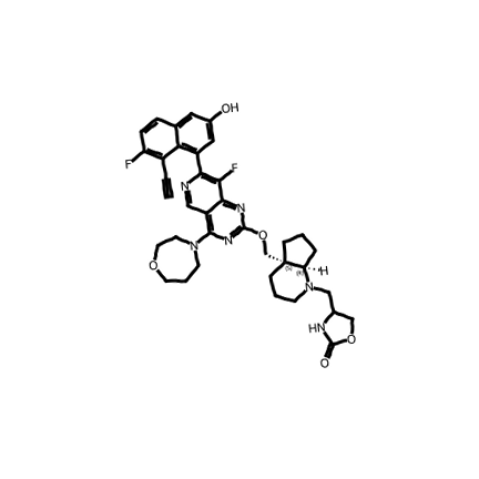 C#Cc1c(F)ccc2cc(O)cc(-c3ncc4c(N5CCCOCC5)nc(OC[C@]56CCC[C@H]5N(CC5COC(=O)N5)CCC6)nc4c3F)c12